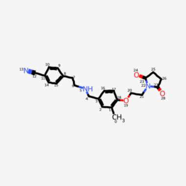 Cc1cc(CNCCc2ccc(C#N)cc2)ccc1OCCN1C(=O)CCC1=O